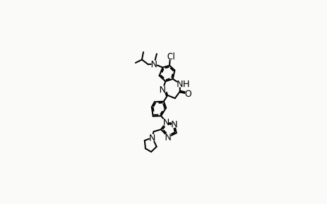 CC(C)CN(C)c1cc2c(cc1Cl)NC(=O)CC(c1cccc(-n3ncnc3CN3CCCC3)c1)=N2